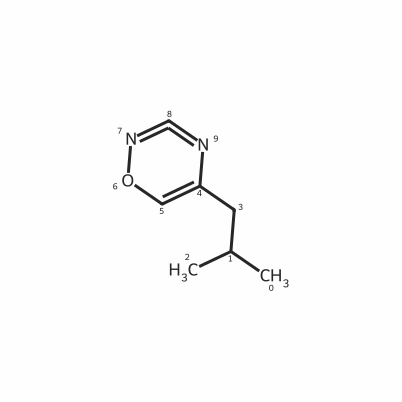 CC(C)CC1=CON=C=N1